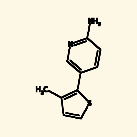 Cc1ccsc1-c1ccc(N)nc1